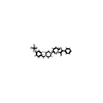 Cc1c(-c2ccccc2)nc2ccc(N3CCN(Cc4ccc(OC(F)(F)F)cc4)CC3)nn12